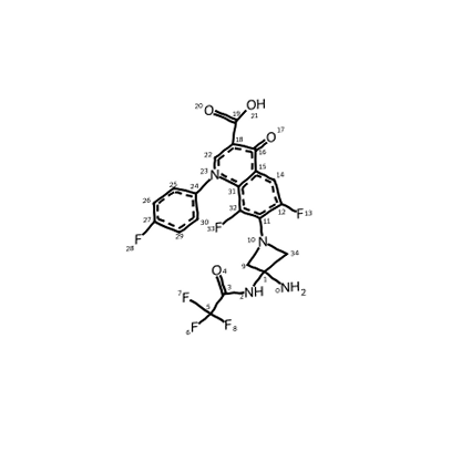 NC1(NC(=O)C(F)(F)F)CN(c2c(F)cc3c(=O)c(C(=O)O)cn(-c4ccc(F)cc4)c3c2F)C1